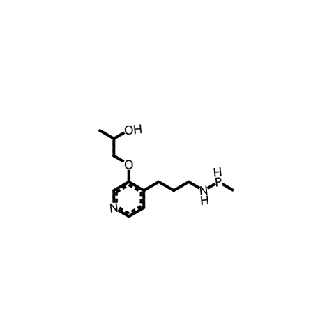 CPNCCCc1ccncc1OCC(C)O